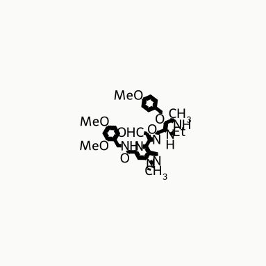 CCN/C(=C(/OCc1ccc(OC)cc1)C(C)=N)c1nc(-c2nc(C(=O)NCc3ccc(OC)cc3OC)cc3c2cnn3C)c(C=O)o1